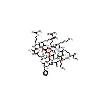 C[C@H](NC(=O)CNC(=O)[C@@H](NC(=O)[C@H](Cc1ccccc1)NC(=O)CNC(=O)CNC(=O)CN)[C@@H](C)O)C(=O)N[C@@H](CCCNC(=N)N)C(=O)N[C@@H](CCCCN)C(=O)N[C@@H](CO)C(=O)N[C@@H](C)C(=O)N[C@@H](CCCNC(=N)N)C(=O)N[C@@H](CCCCN)C(=O)N[C@@H](CCCNC(=N)N)C(=O)N[C@@H](CCCCN)C(=O)N[C@@H](CC(N)=O)C(=O)N[C@@H](CCC(N)=O)C(N)=O